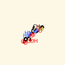 CCCC[C@H](NC(=O)N[C@@H](CC(=O)O)c1ccc2c(c1)OCO2)C(=O)N1CCN(S(=O)(=O)c2cccs2)CC1